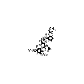 C=CC(=O)Nc1ccccc1Nc1ncc2c(n1)N(CC1CC1)C(=O)N(c1c(F)c(OC)cc(OC)c1F)C2